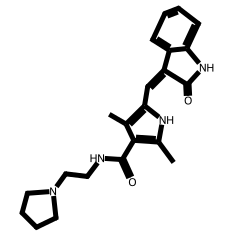 Cc1[nH]c(/C=C2\C(=O)Nc3ccccc32)c(C)c1C(=O)NCCN1CCCC1